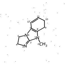 CN1C2=NCCN2C2=C1CCC=C2